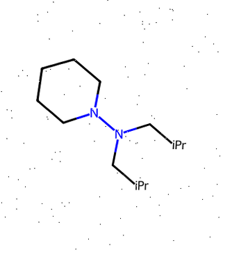 CC(C)CN(CC(C)C)N1CCCCC1